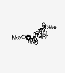 COC(=O)c1csc(NC(=O)[C@H](CC(C)C)N2C(=O)NC(c3ccc(OC)cc3)C2=O)n1